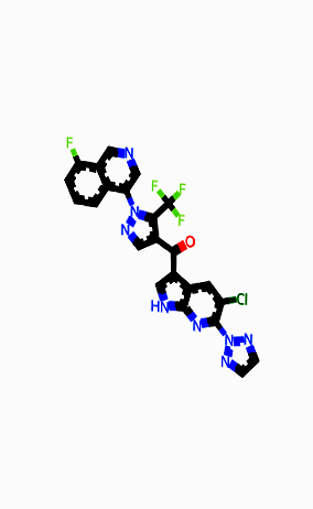 O=C(c1cnn(-c2cncc3c(F)cccc23)c1C(F)(F)F)c1c[nH]c2nc(-n3nccn3)c(Cl)cc12